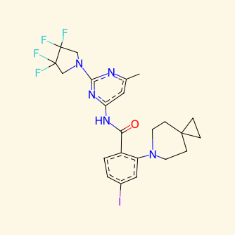 Cc1cc(NC(=O)c2ccc(I)cc2N2CCC3(CC2)CC3)nc(N2CC(F)(F)C(F)(F)C2)n1